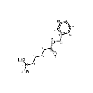 CCCN(CC)CCCCC(=O)OCc1ccccc1